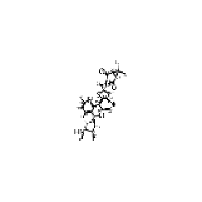 CN[C@@H]1CN(C(=O)c2c(C)cc(C)nc2-c2ccnc3cc(CN4C(=O)C5C(C4=O)C5(C)C)sc23)C[C@H]1F